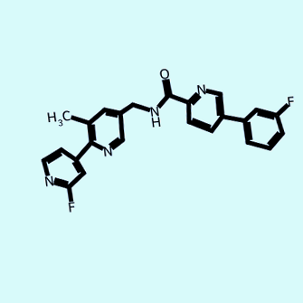 Cc1cc(CNC(=O)c2ccc(-c3cccc(F)c3)cn2)cnc1-c1ccnc(F)c1